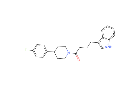 O=C(CCCc1c[nH]c2ccccc12)N1CCC(c2ccc(F)cc2)CC1